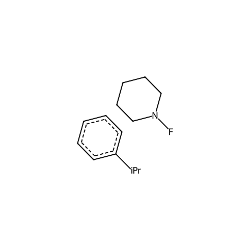 CC(C)c1ccccc1.FN1CCCCC1